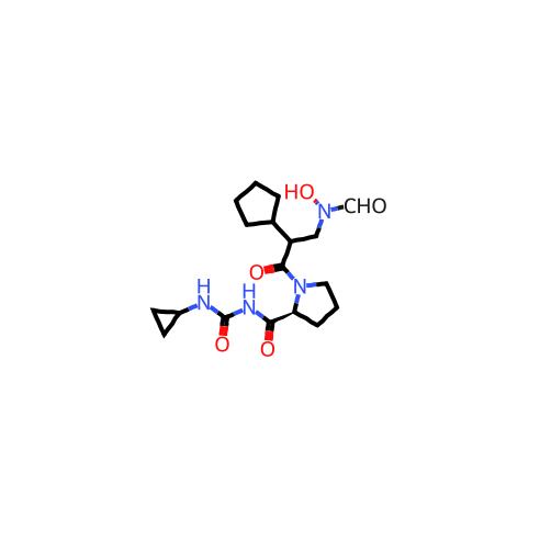 O=CN(O)CC(C(=O)N1CCC[C@H]1C(=O)NC(=O)NC1CC1)C1CCCC1